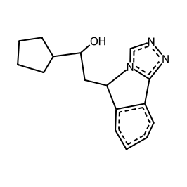 OC(CC1c2ccccc2-c2nncn21)C1CCCC1